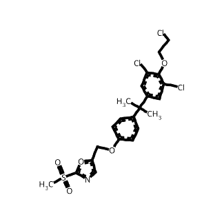 CC(C)(c1ccc(OCc2cnc(S(C)(=O)=O)o2)cc1)c1cc(Cl)c(OCCCl)c(Cl)c1